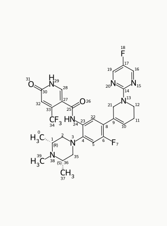 C[C@@H]1CN(c2cc(F)c(C3=CCCN(c4ncc(F)cn4)C3)cc2NC(=O)c2c[nH]c(=O)cc2C(F)(F)F)C[C@H](C)N1C